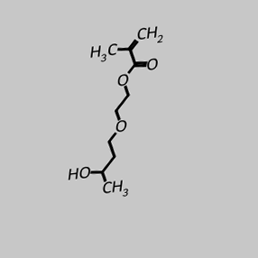 C=C(C)C(=O)OCCOCCC(C)O